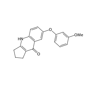 COc1cccc(Oc2ccc3[nH]c4c(c(=O)c3c2)CCC4)c1